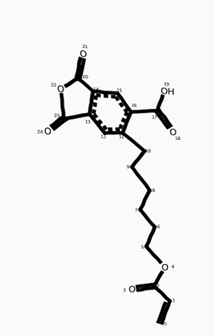 C=CC(=O)OCCCCCCc1cc2c(cc1C(=O)O)C(=O)OC2=O